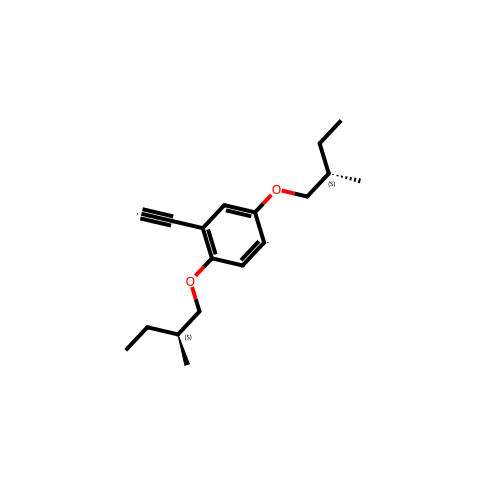 [C]#Cc1cc(OC[C@@H](C)CC)[c]cc1OC[C@@H](C)CC